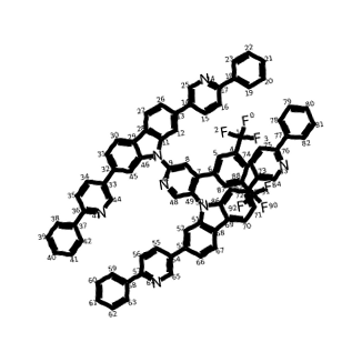 FC(F)(F)c1cc(-c2cc(-n3c4cc(-c5ccc(-c6ccccc6)nc5)ccc4c4ccc(-c5ccc(-c6ccccc6)nc5)cc43)ncc2-n2c3cc(-c4ccc(-c5ccccc5)nc4)ccc3c3ccc(-c4ccc(-c5ccccc5)nc4)cc32)cc(C(F)(F)F)c1